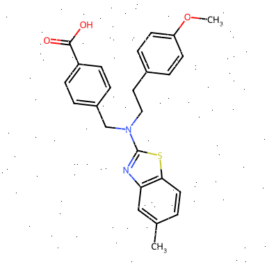 COc1ccc(CCN(Cc2ccc(C(=O)O)cc2)c2nc3cc(C)ccc3s2)cc1